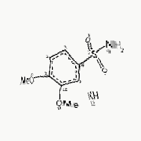 COc1ccc(S(N)(=O)=O)cc1OC.[KH]